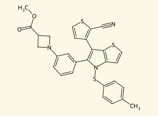 COC(=O)C1CN(c2cccc(-c3c(-c4ccsc4C#N)c4sccc4n3Sc3ccc(C)cc3)c2)C1